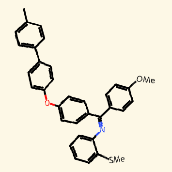 COc1ccc(C(=Nc2ccccc2SC)c2ccc(Oc3ccc(-c4ccc(C)cc4)cc3)cc2)cc1